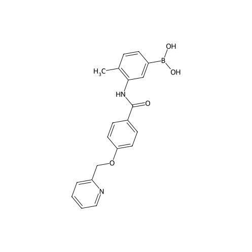 Cc1ccc(B(O)O)cc1NC(=O)c1ccc(OCc2ccccn2)cc1